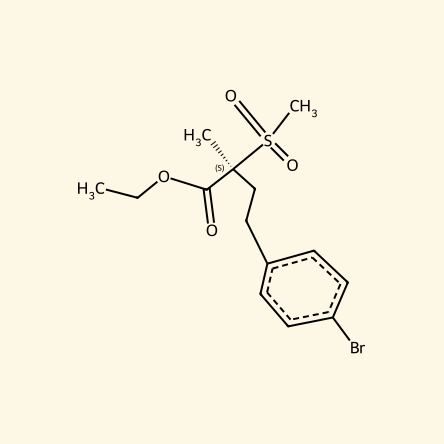 CCOC(=O)[C@](C)(CCc1ccc(Br)cc1)S(C)(=O)=O